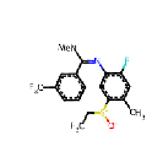 CN/C(=N/c1cc([S+]([O-])CC(F)(F)F)c(C)cc1F)c1cccc(C(F)(F)F)c1